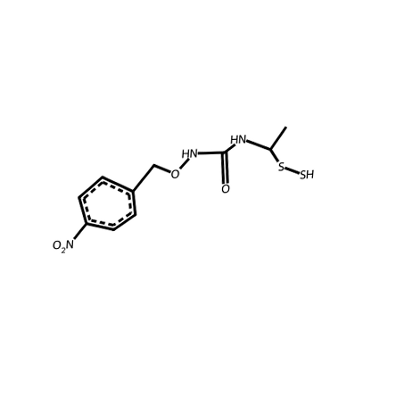 CC(NC(=O)NOCc1ccc([N+](=O)[O-])cc1)SS